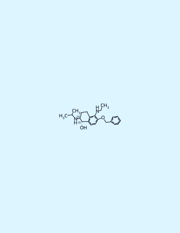 CCNc1c(OCc2ccccc2)ccc2c1CC[C@H](NC(C)C)[C@H]2O